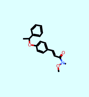 CON(C)C(=O)C=Cc1ccc(OC(C)c2ccccc2)cc1